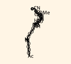 COc1cnc(-n2cnc(C(=O)N[C@H]3C[C@@H](CO)N(c4ccnc(NCCOCCOCCOCCOCc5cn(CCOCCOCCOCCOCCC(C)=O)nn5)n4)C3)n2)c2[nH]cc(C(=O)C(=O)N3CCC(=C(C#N)c4ccccc4)CC3)c12